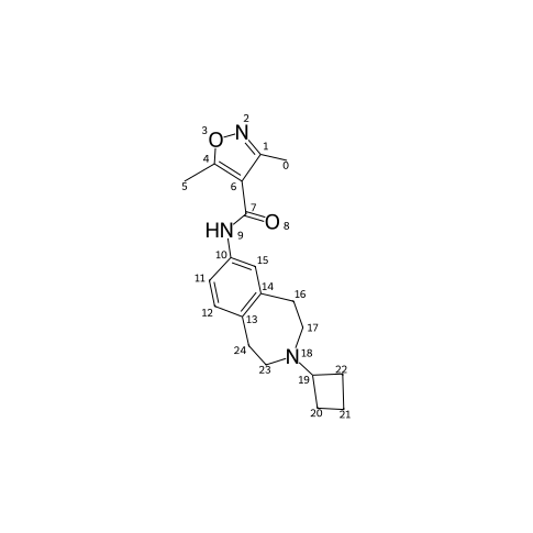 Cc1noc(C)c1C(=O)Nc1ccc2c(c1)CCN(C1CCC1)CC2